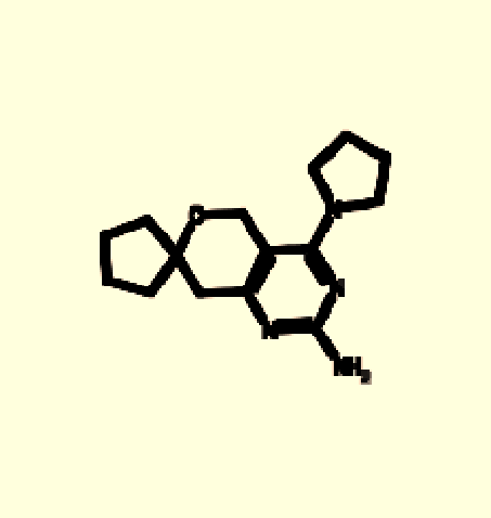 Nc1nc2c(c(N3CCCC3)n1)COC1(CCCC1)C2